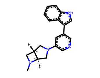 CN1C[C@@H]2CN(c3cncc(-c4c[nH]c5ccccc45)c3)C[C@H]21